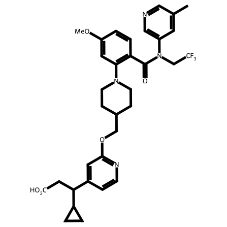 COc1ccc(C(=O)N(CC(F)(F)F)c2cncc(C)c2)c(N2CCC(COc3cc(C(CC(=O)O)C4CC4)ccn3)CC2)c1